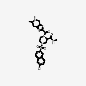 CNC(=O)C1CN(S(=O)(=O)c2ccc3cc(Cl)ccc3c2)CCN1C(=O)c1nc2c(o1)CNC(C)C2